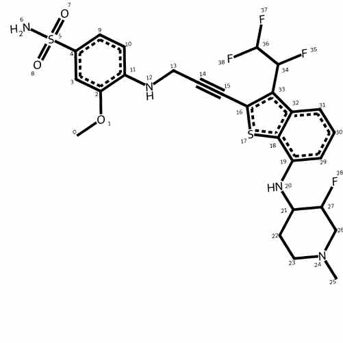 COc1cc(S(N)(=O)=O)ccc1NCC#Cc1sc2c(NC3CCN(C)CC3F)cccc2c1C(F)C(F)F